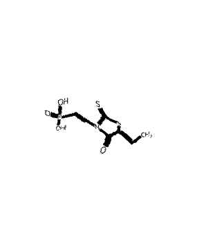 CC=C1SC(=S)N(CCP(=O)(O)O)C1=O